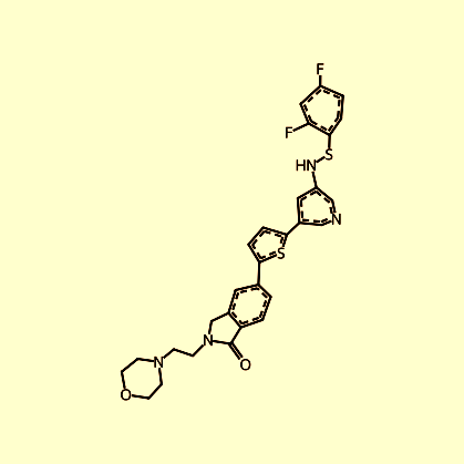 O=C1c2ccc(-c3ccc(-c4cncc(NSc5ccc(F)cc5F)c4)s3)cc2CN1CCN1CCOCC1